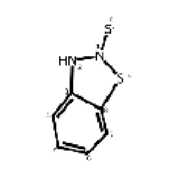 [S]N1Nc2ccccc2S1